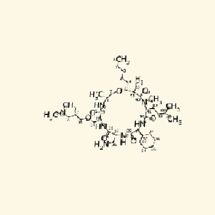 CCCCC[C@H]1OC[C@@H](C)NC(=O)[C@H](COCCCN(C)C)NC(=O)[C@H](CN)NC(=O)[C@H](C2CCCCC2)NC(=O)[C@H](CCC(C)C)N(C)C(=O)[C@@H]1C